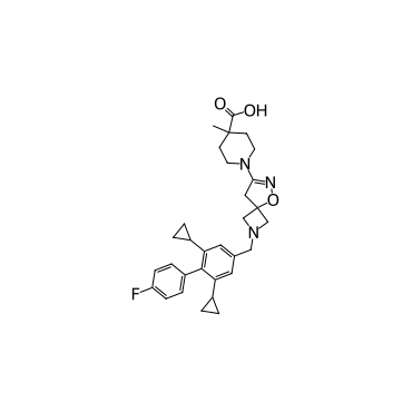 CC1(C(=O)O)CCN(C2=NOC3(C2)CN(Cc2cc(C4CC4)c(-c4ccc(F)cc4)c(C4CC4)c2)C3)CC1